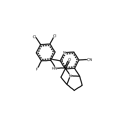 N#Cc1cnc(F)c2c1C1CCC(C2)N1C(=O)Nc1cc(Cl)c(Cl)cc1F